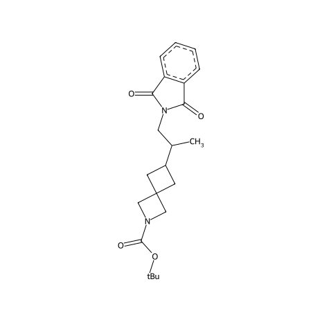 CC(CN1C(=O)c2ccccc2C1=O)C1CC2(C1)CN(C(=O)OC(C)(C)C)C2